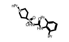 CCCN1CCC(S(=O)(=O)NC(=O)Nc2c(C(C)C)cccc2C(C)C)CC1